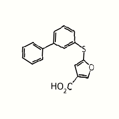 O=C(O)c1coc(Sc2cccc(-c3ccccc3)c2)c1